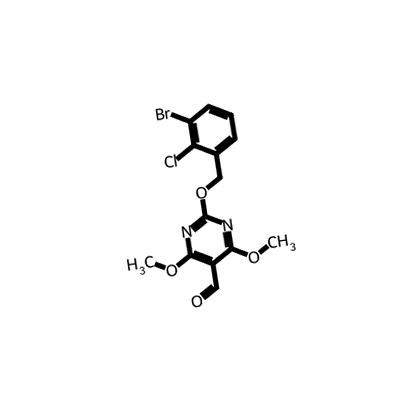 COc1nc(OCc2cccc(Br)c2Cl)nc(OC)c1C=O